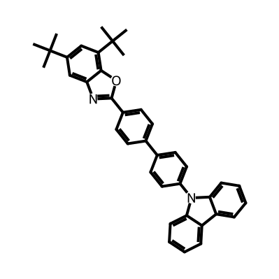 CC(C)(C)c1cc(C(C)(C)C)c2oc(-c3ccc(-c4ccc(-n5c6ccccc6c6ccccc65)cc4)cc3)nc2c1